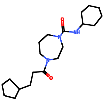 O=C(CCC1CCCC1)N1CCCN(C(=O)NC2CCCCC2)CC1